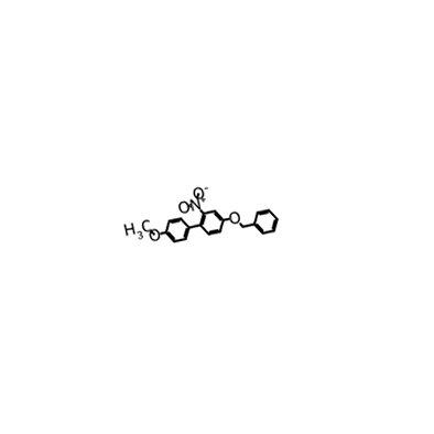 COc1ccc(-c2ccc(OCc3ccccc3)cc2[N+](=O)[O-])cc1